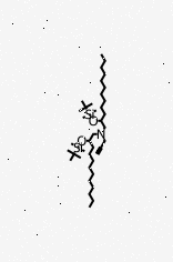 C#CCN(CC(CCCCCCCCCC)O[Si](C)(C)C(C)(C)C)CC(CCCCCCCCCC)O[Si](C)(C)C(C)(C)C